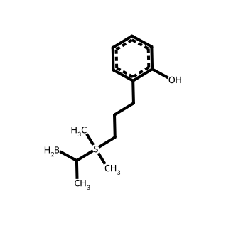 BC(C)S(C)(C)CCCc1ccccc1O